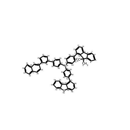 CC1(C)c2ccccc2-c2cccc(-c3ccc(N(c4ccc(-c5cccc(-c6ccc7ccccc7c6)c5)cc4)c4ccc(-c5cccc6sc7ccccc7c56)cc4)cc3)c21